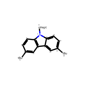 CCCCCCCn1c2ccc(C(C)(C)C)cc2c2cc(C(C)(C)C)ccc21